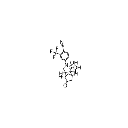 N#Cc1ccc(N2C[C@@H]3[C@@H]([C@@H]4CC(=O)[C@H]3C4)S2(O)O)cc1C(F)(F)F